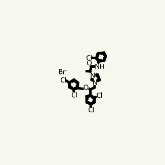 CC(C(=O)Nc1ccccc1Cl)[n+]1ccn(CC(OCc2ccc(Cl)cc2Cl)c2ccc(Cl)cc2Cl)c1.[Br-]